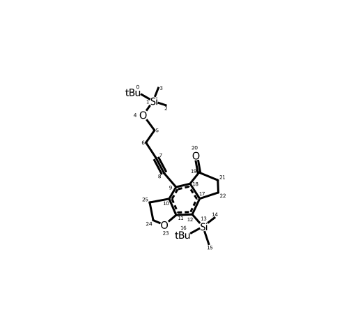 CC(C)(C)[Si](C)(C)OCCC#Cc1c2c(c([Si](C)(C)C(C)(C)C)c3c1C(=O)CC3)OCC2